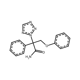 NC(=O)C(COc1ccccc1)(c1ccccc1)n1ncnn1